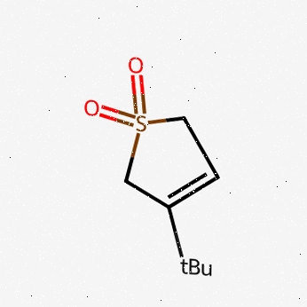 CC(C)(C)C1=CCS(=O)(=O)C1